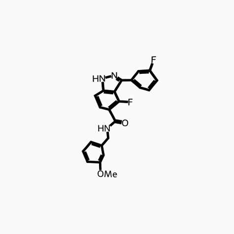 COc1cccc(CNC(=O)c2ccc3[nH]nc(-c4cccc(F)c4)c3c2F)c1